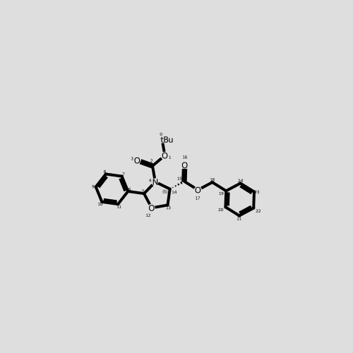 CC(C)(C)OC(=O)N1C(c2ccccc2)OC[C@H]1C(=O)OCc1ccccc1